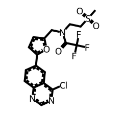 CS(=O)(=O)CCN(Cc1ccc(-c2ccc3ncnc(Cl)c3c2)o1)C(=O)C(F)(F)F